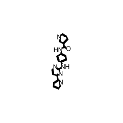 O=C(Nc1ccc(Nc2nccc(-c3ccccn3)n2)cc1)c1cccnc1